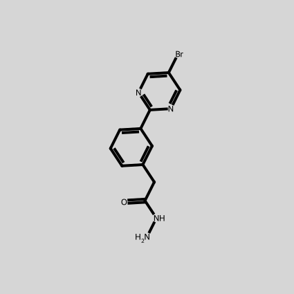 NNC(=O)Cc1cccc(-c2ncc(Br)cn2)c1